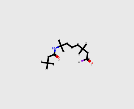 CC(C)(C)CC(=O)NC(C)(C)CCCC(C)(C)CC(=O)I